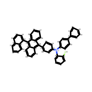 Fc1ccccc1N(c1ccc(-c2ccccc2)cc1)c1ccc(-c2c3ccccc3c(-c3cccc4ccccc34)c3ccccc23)cc1